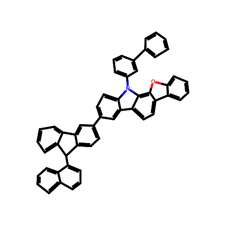 c1ccc(-c2cccc(-n3c4ccc(-c5ccc6c(c5)-c5ccccc5C6c5cccc6ccccc56)cc4c4ccc5c6ccccc6oc5c43)c2)cc1